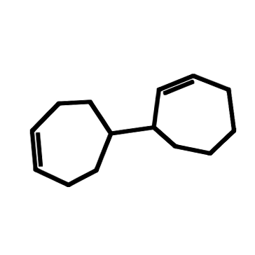 C1=CC(C2CCC=CCC2)CCCC1